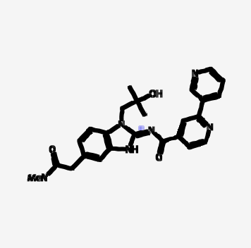 CNC(=O)Cc1ccc2c(c1)[nH]/c(=N\C(=O)c1ccnc(-c3cccnc3)c1)n2CC(C)(C)O